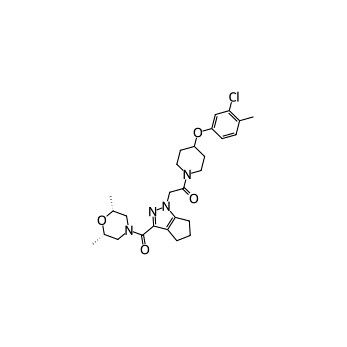 Cc1ccc(OC2CCN(C(=O)Cn3nc(C(=O)N4C[C@@H](C)O[C@@H](C)C4)c4c3CCC4)CC2)cc1Cl